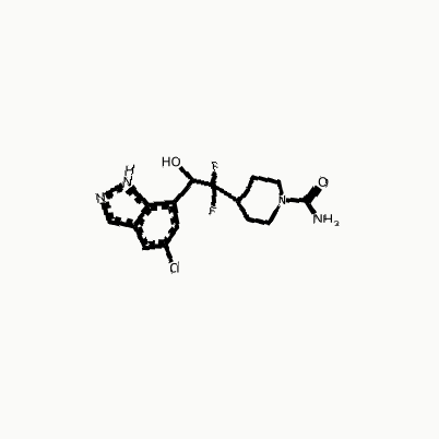 NC(=O)N1CCC(C(F)(F)C(O)c2cc(Cl)cc3cn[nH]c23)CC1